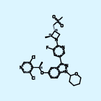 C[C@@H](Oc1ccc2c(c1)c(-c1cnc(N3C[C@@H](CS(C)(=O)=O)[C@@H]3C)c(F)c1)nn2C1CCCCO1)c1c(Cl)cncc1Cl